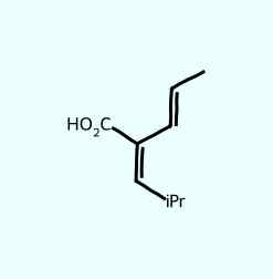 CC=CC(=CC(C)C)C(=O)O